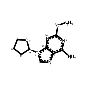 COc1nc(N)c2ncn([C@H]3CCCO3)c2n1